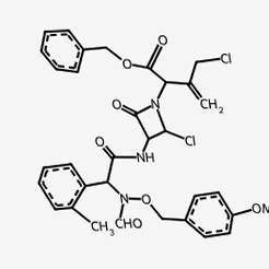 C=C(CCl)C(C(=O)OCc1ccccc1)N1C(=O)C(NC(=O)C(c2ccccc2C)N(C=O)OCc2ccc(OC)cc2)C1Cl